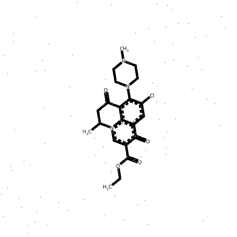 CCOC(=O)c1cn2c3c(c(N4CCN(C)CC4)c(Cl)cc3c1=O)C(=O)CC2C